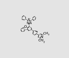 Cc1cc(-c2ccc(-c3cc(-c4nc(-c5ccccc5)nc(-c5ccccc5)n4)c4oc5ccccc5c4c3)cc2)cc(C)n1